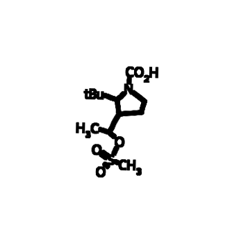 CC(OS(C)(=O)=O)C1CCN(C(=O)O)C1C(C)(C)C